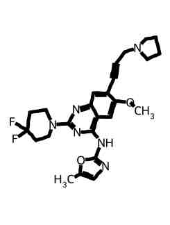 COc1cc2c(Nc3ncc(C)o3)nc(N3CCC(F)(F)CC3)nc2cc1C#CCN1CCCC1